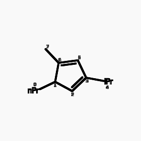 CCCC1C=C(C(C)C)C=C1C